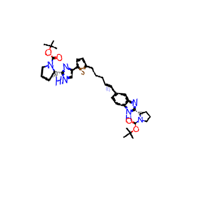 CC(C)(C)OC(=O)N1CCC[C@H]1c1nc(-c2ccc(CCC/C=C/c3ccc4[nH]c([C@@H]5CCCN5C(=O)OC(C)(C)C)nc4c3)s2)c[nH]1